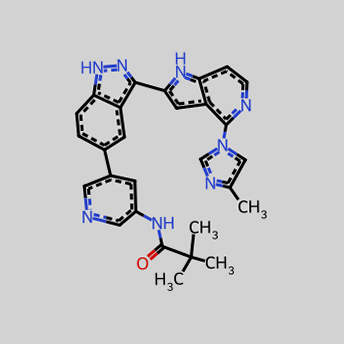 Cc1cn(-c2nccc3[nH]c(-c4n[nH]c5ccc(-c6cncc(NC(=O)C(C)(C)C)c6)cc45)cc23)cn1